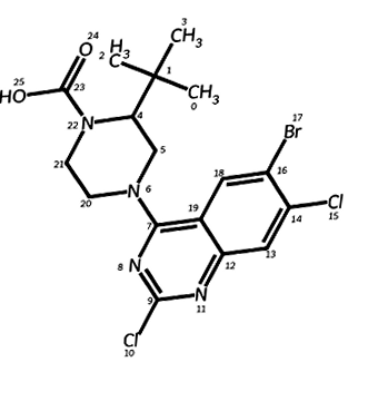 CC(C)(C)C1CN(c2nc(Cl)nc3cc(Cl)c(Br)cc23)CCN1C(=O)O